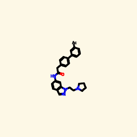 CC(=O)c1cccc(-c2ccc(CC(=O)Nc3ccc4cnn(CCN5CCCC5)c4c3)cc2)c1